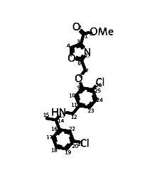 COC(=O)c1coc(COc2cc(CNC(C)c3cccc(Cl)c3)ccc2Cl)n1